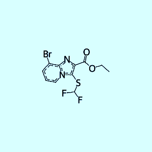 CCOC(=O)c1nc2c(Br)cccn2c1SC(F)F